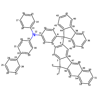 CC1(C)c2ccc(C3(c4ccc(N(c5ccccc5)c5ccc(-c6ccccc6)cc5)cc4)c4ccccc4-c4ccccc43)cc2-c2cc3ccccc3cc21